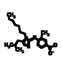 CCCCCCCn1c(CC(C)C)csc1=Nc1ccc([N+](=O)[O-])cc1C